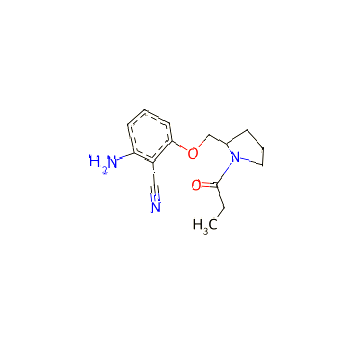 CCC(=O)N1CCCC1COc1cccc(N)c1C#N